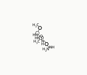 Cc1cccc(C2CCNC(C(=O)N[C@@H](C)C(=O)NCc3ccc(C(=N)N)cc3)C2)c1